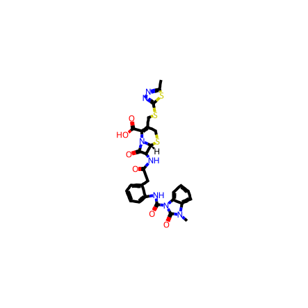 Cc1nnc(SCC2=C(C(=O)O)N3C(=O)C(NC(=O)Cc4ccccc4NC(=O)n4c(=O)n(C)c5ccccc54)[C@H]3SC2)s1